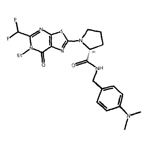 CCn1c(C(F)F)nc2sc(N3CCC[C@@H]3C(=O)NCc3ccc(N(C)C)cc3)nc2c1=O